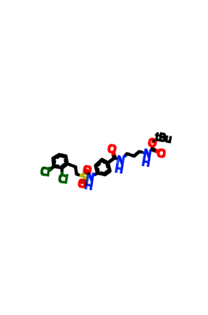 CC(C)(C)OC(=O)NCCCNC(=O)c1ccc(NS(=O)(=O)CCc2cccc(Cl)c2Cl)cc1